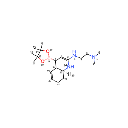 CN(C)CCNC1=C[C@H](B2OC(C)(C)C(C)(C)O2)C2C=CCC[C@@H]2N1